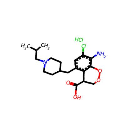 CC(C)CN1CCC(Cc2cc(Cl)c(N)c3c2C(C(=O)O)COO3)CC1.Cl